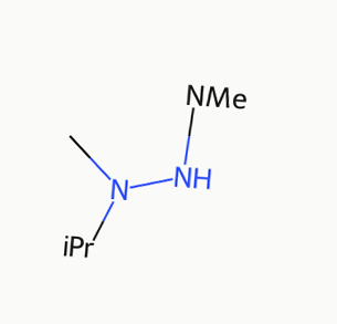 CNNN(C)C(C)C